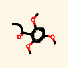 CCC(=O)c1c(OC)cc(OC)cc1OC